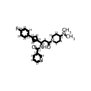 CN(C)C1CCN(C(=O)CC(NC(=O)c2cccnc2)C23CC(c4ccc(F)cc4)(C2)C3)CC1